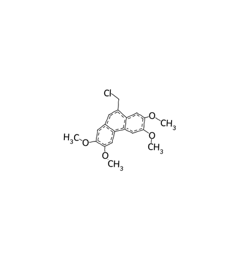 COc1cc2cc(CCl)c3cc(OC)c(OC)cc3c2cc1OC